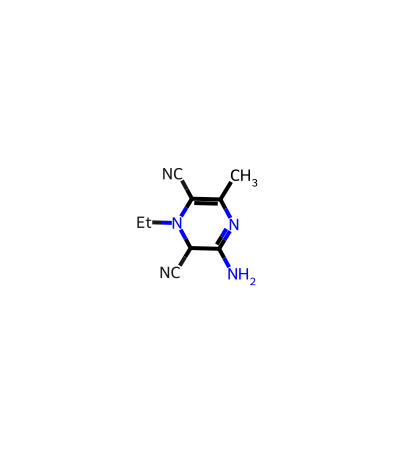 CCN1C(C#N)=C(C)N=C(N)C1C#N